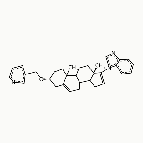 CC12CC[C@H](OCc3cccnc3)CC1=CCC1C2CC[C@]2(C)C(n3cnc4ccccc43)=CCC12